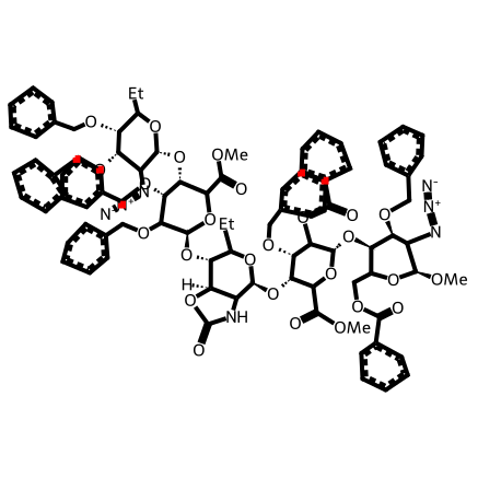 CCC1O[C@@H](O[C@H]2C(C(=O)OC)O[C@@H](O[C@@H]3C(COC(=O)c4ccccc4)O[C@H](OC)C(N=[N+]=[N-])[C@@H]3OCc3ccccc3)C(OC(=O)c3ccccc3)[C@H]2OCc2ccccc2)C2NC(=O)O[C@H]2[C@@H]1O[C@@H]1OC(C(=O)OC)[C@@H](O[C@H]2OC(CC)[C@@H](OCc3ccccc3)[C@@H](OCc3ccccc3)C2N=[N+]=[N-])[C@@H](OCc2ccccc2)C1OCc1ccccc1